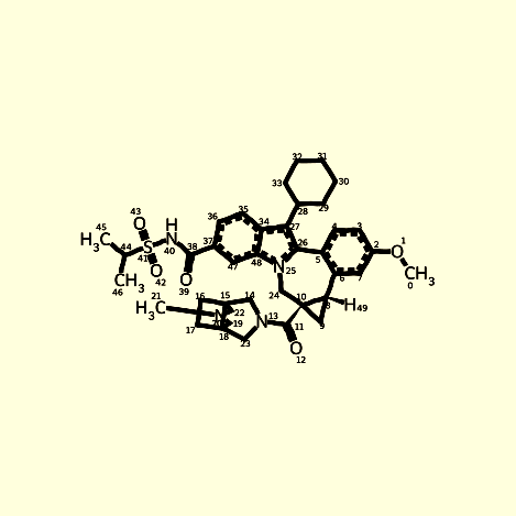 COc1ccc2c(c1)[C@@H]1C[C@]1(C(=O)N1CC34CCC3(CN(C)C4)C1)Cn1c-2c(C2CCCCC2)c2ccc(C(=O)NS(=O)(=O)C(C)C)cc21